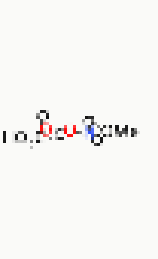 COC1=Cc2ccccc2N(CCCOc2ccc(CC(OCc3ccccc3)C(=O)O)cc2)c2ccccc21